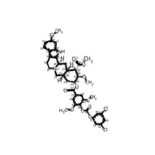 COC(=O)[C@H]1[C@H]2C[C@@H]3c4[nH]c5cc(OC)ccc5c4CCN3C[C@H]2C[C@@H](OC(=O)c2cc(OC)c(OC(=O)Oc3cc(Cl)cc(Cl)c3)c(OC)c2)[C@@H]1OC